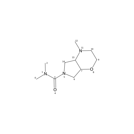 CN(C)C(=O)N1CC2OCCN(C)C2C1